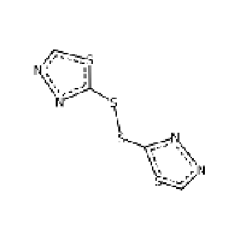 c1nnc(SSc2nncs2)s1